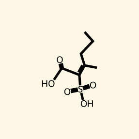 CCC/C(C)=C(\C(=O)O)S(=O)(=O)O